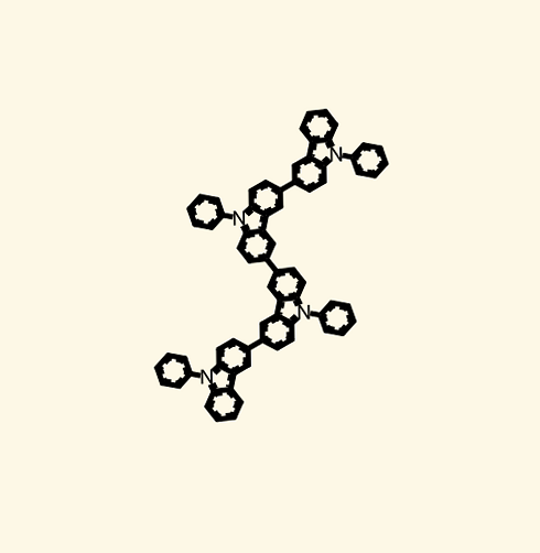 c1ccc(-n2c3ccccc3c3cc(-c4ccc5c(c4)c4cc(-c6ccc7c(c6)c6cc(-c8ccc9c(c8)c8ccccc8n9-c8ccccc8)ccc6n7-c6ccccc6)ccc4n5-c4ccccc4)ccc32)cc1